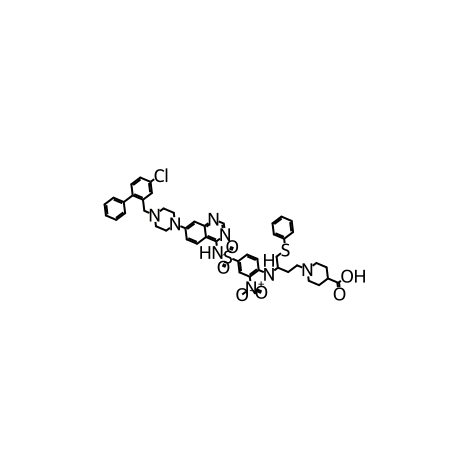 O=C(O)C1CCN(CCC(CSc2ccccc2)Nc2ccc(S(=O)(=O)Nc3ncnc4cc(N5CCN(Cc6cc(Cl)ccc6-c6ccccc6)CC5)ccc34)cc2[N+](=O)[O-])CC1